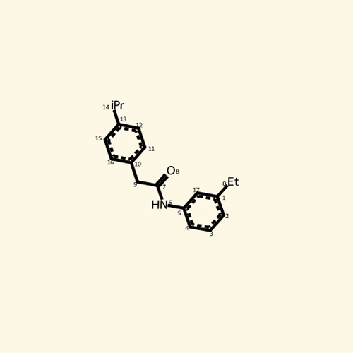 CCc1cccc(NC(=O)Cc2ccc(C(C)C)cc2)c1